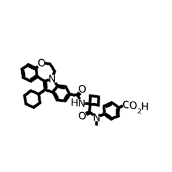 CN(C(=O)C1(NC(=O)c2ccc3c(C4CCCCC4)c4n(c3c2)CCOc2ccccc2-4)CCC1)c1ccc(C(=O)O)cc1